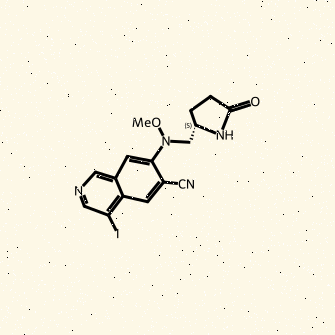 CON(C[C@@H]1CCC(=O)N1)c1cc2cncc(I)c2cc1C#N